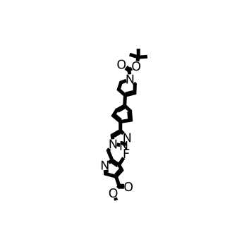 COC(=O)c1cnc(Cn2cc(-c3ccc(C4=CCN(C(=O)OC(C)(C)C)CC4)cc3)nn2)c(F)c1